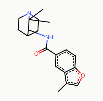 Cc1coc2ccc(C(=O)NC3C4CCN(CC4)C3(C)C)cc12